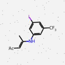 CC(=O)/C=C(\C)Nc1cc(I)cc(C(F)(F)F)c1